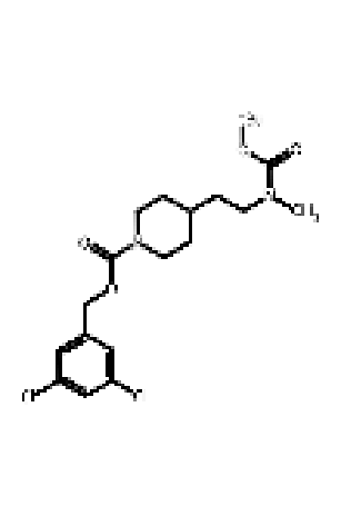 CN(CCC1CCN(C(=O)OCc2cc(Cl)cc(Cl)c2)CC1)C(=O)OC(C)(C)C